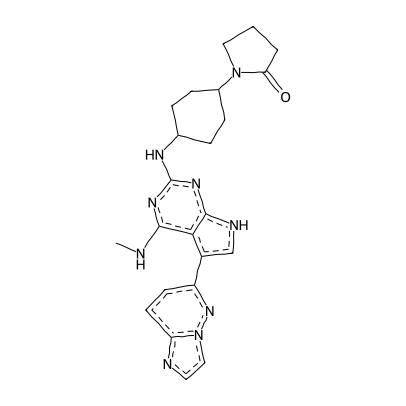 CNc1nc(NC2CCC(N3CCCC3=O)CC2)nc2[nH]cc(-c3ccc4nccn4n3)c12